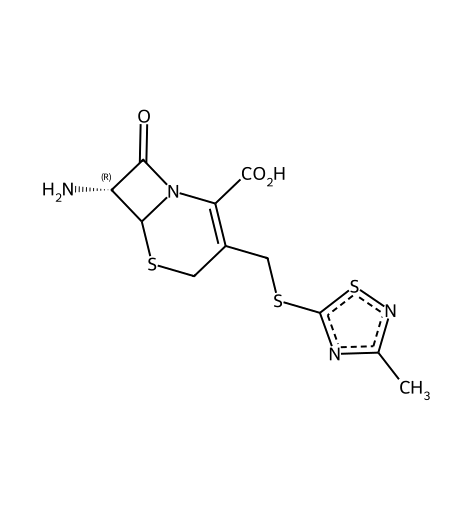 Cc1nsc(SCC2=C(C(=O)O)N3C(=O)[C@@H](N)C3SC2)n1